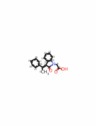 CC(=C1C(=O)N(CC(=O)O)c2ccccc21)c1ccccc1